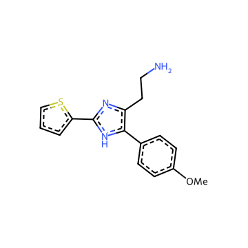 COc1ccc(-c2[nH]c(-c3cccs3)nc2CCN)cc1